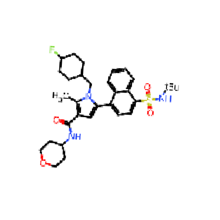 Cc1c(C(=O)NC2CCOCC2)cc(-c2ccc(S(=O)(=O)NC(C)(C)C)c3ccccc23)n1CC1CCC(F)CC1